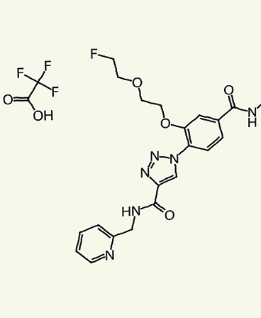 CCNC(=O)c1ccc(-n2cc(C(=O)NCc3ccccn3)nn2)c(OCCOCCF)c1.O=C(O)C(F)(F)F